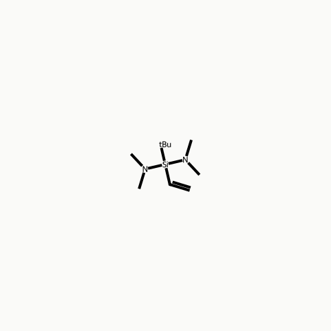 C=C[Si](N(C)C)(N(C)C)C(C)(C)C